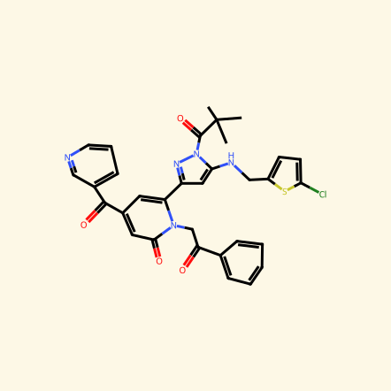 CC(C)(C)C(=O)n1nc(-c2cc(C(=O)c3cccnc3)cc(=O)n2CC(=O)c2ccccc2)cc1NCc1ccc(Cl)s1